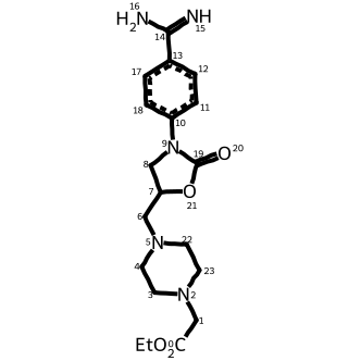 CCOC(=O)CN1CCN(CC2CN(c3ccc(C(=N)N)cc3)C(=O)O2)CC1